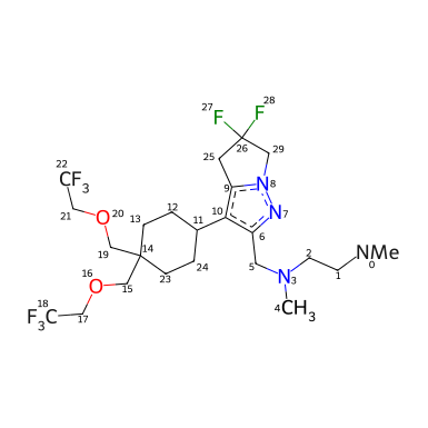 CNCCN(C)Cc1nn2c(c1C1CCC(COCC(F)(F)F)(COCC(F)(F)F)CC1)CC(F)(F)C2